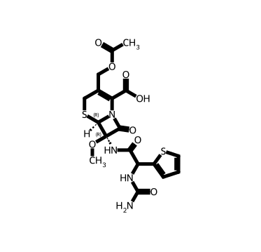 CO[C@]1(NC(=O)C(NC(N)=O)c2cccs2)C(=O)N2C(C(=O)O)=C(COC(C)=O)CS[C@@H]21